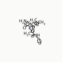 Cc1c(C(=O)NCCN2CCOCC2)c[nH]c1/C=C1\C(=O)N(Cc2cnn(C)c2C)c2nc(N)nc(Cl)c21